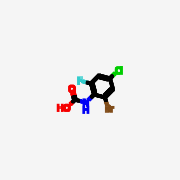 O=C(O)Nc1c(F)cc(Cl)cc1Br